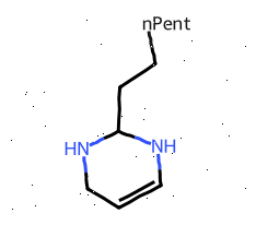 CCCCCCCC1NC=CCN1